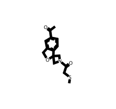 CSCC(=O)N1CC2(C1)OCc1cc(C(C)=O)ccc12